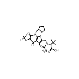 Cc1c(CN(C(N)=O)N(C(=O)O)C(C)(C)C)sc2c1c(=O)n(CC(F)(F)F)c(=O)n2CC1CCCO1